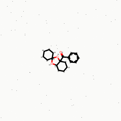 O=C(c1ccccc1)C12CCCCC1OC1(CCCCC1)O2